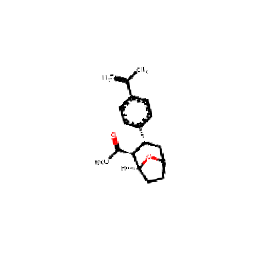 C=C(C)c1ccc([C@@H]2CC3CC[C@H](O3)[C@H]2C(=O)OC)cc1